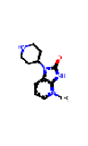 [CH2-][n+]1cccc2c1[nH]c(=O)n2C1CCNCC1